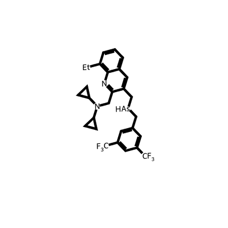 CCc1cccc2cc(C[AsH]Cc3cc(C(F)(F)F)cc(C(F)(F)F)c3)c(CN(C3CC3)C3CC3)nc12